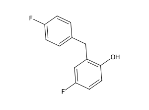 Oc1ccc(F)cc1Cc1ccc(F)cc1